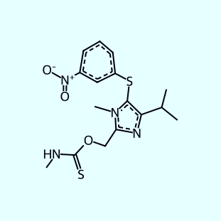 CNC(=S)OCc1nc(C(C)C)c(Sc2cccc([N+](=O)[O-])c2)n1C